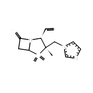 C[C@]1(Cn2ccnc2)[C@H](C=O)N2C(=O)CC2S1(=O)=O